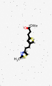 COC(=O)CCc1cc(CCc2csc(C)n2)cs1